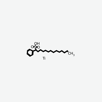 CCCCCCCCCCCCCC(c1ccccc1)S(=O)(=O)O.[Ti]